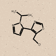 CC(C)n1nccc1-c1ncoc1CCl